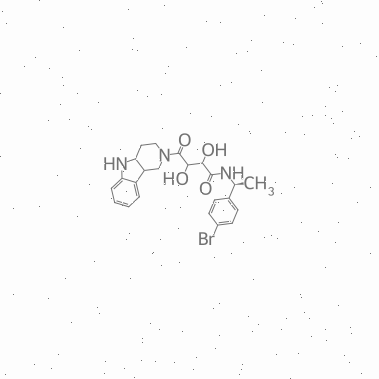 C[C@H](NC(=O)C(O)C(O)C(=O)N1CCC2Nc3ccccc3C2C1)c1ccc(Br)cc1